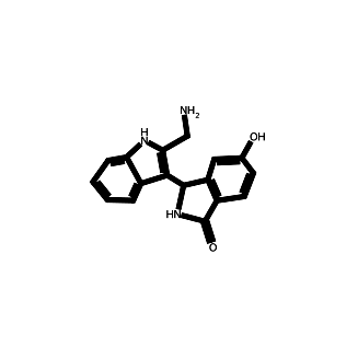 NCc1[nH]c2ccccc2c1C1NC(=O)c2ccc(O)cc21